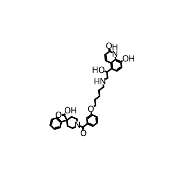 O=C(c1cccc(OCCCCCNCC(O)c2ccc(O)c3[nH]c(=O)ccc23)c1)N1CCC(C(=O)O)(c2ccccc2)CC1